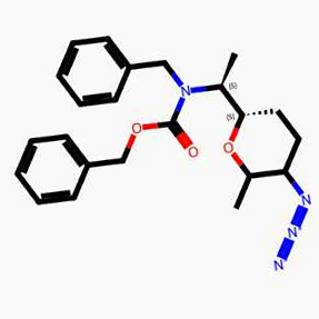 CC1O[C@H]([C@H](C)N(Cc2ccccc2)C(=O)OCc2ccccc2)CCC1N=[N+]=[N-]